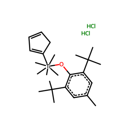 Cc1cc(C(C)(C)C)c([O][Ti]([CH3])([CH3])([CH3])([CH3])([CH3])[C]2=CC=CC2)c(C(C)(C)C)c1.Cl.Cl